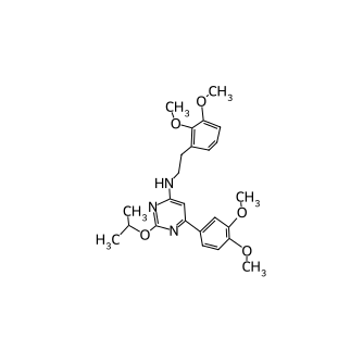 COc1ccc(-c2cc(NCCc3cccc(OC)c3OC)nc(OC(C)C)n2)cc1OC